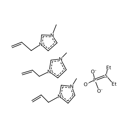 C=CC[n+]1ccn(C)c1.C=CC[n+]1ccn(C)c1.C=CC[n+]1ccn(C)c1.CCS(CC)=P([O-])([O-])[O-]